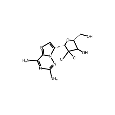 Nc1nc(N)c2ncc([C@@H]3O[C@H](CO)C(O)C3(Cl)Cl)n2n1